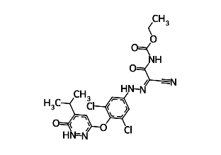 CCOC(=O)NC(=O)C(C#N)=NNc1cc(Cl)c(Oc2cc(C(C)C)c(=O)[nH]n2)c(Cl)c1